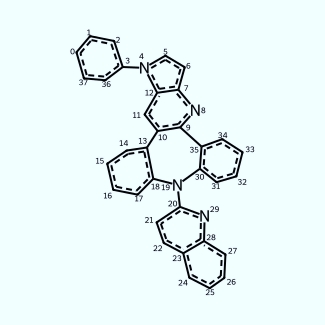 c1ccc(-n2ccc3nc4c(cc32)-c2ccccc2N(c2ccc3ccccc3n2)c2ccccc2-4)cc1